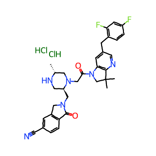 C[C@@H]1CN(CC(=O)N2CC(C)(C)c3ncc(Cc4ccc(F)cc4F)cc32)[C@@H](CN2Cc3cc(C#N)ccc3C2=O)CN1.Cl.Cl